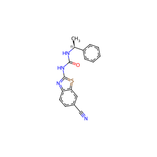 C[C@H](NC(=O)Nc1nc2ccc(C#N)cc2s1)c1ccccc1